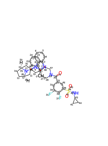 Cc1nc2ccccc2n1[C@H]1C[C@H]2CC[C@@H](C1)N2CCC1(c2ccccc2)CCN(C(=O)c2cc(F)c(F)c(S(=O)(=O)NC3CC3)c2)CC1